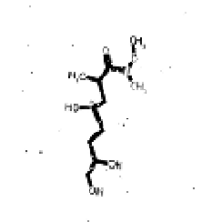 CON(C)C(=O)C(C)C[C@H](O)CCC(O)CO